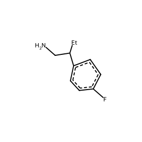 CCC(CN)c1ccc(F)cc1